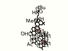 CCC1OC(OC2C(O[C@H]3CC[C@@]4(C)C(CC[C@]5(C)C4CC=C4C6CC(C)(C)CC[C@]6(C(=O)NCCNC(=O)OC(C)(C)C)[C@H](OC)C[C@]45C)[C@]3(C)C=O)OC(C(C)=O)C(C)C2OC2OCC(C)C(C)C2O[Si](CC)(CC)CC)C(O[Si](CC)(CC)CC)C(O[Si](CC)(CC)CC)C1C